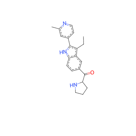 CCc1c(-c2ccnc(C)c2)[nH]c2ccc(C(=O)C3CCCN3)cc12